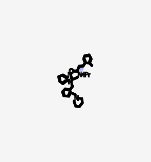 Cc1ccccc1/C=C/C(=O)N(Cc1nc2ccccc2n1Cc1ccccc1CN1CCCCC1)C(C)C